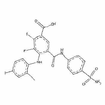 Cc1cc(I)ccc1Nc1c(C(=O)Nc2ccc(S(N)(=O)=O)cc2)cc(C(=O)O)c(F)c1F